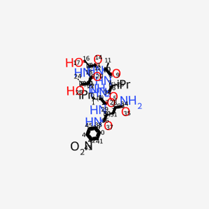 CC(C)C[C@H](NC(=O)[C@@H](NC(=O)[C@H](C)NC(=O)[C@H](CO)NC(=O)[C@@H](N)[C@@H](C)O)C(C)C)C(=O)N[C@@H](CCC(N)=O)C(=O)Nc1ccc([N+](=O)[O-])cc1